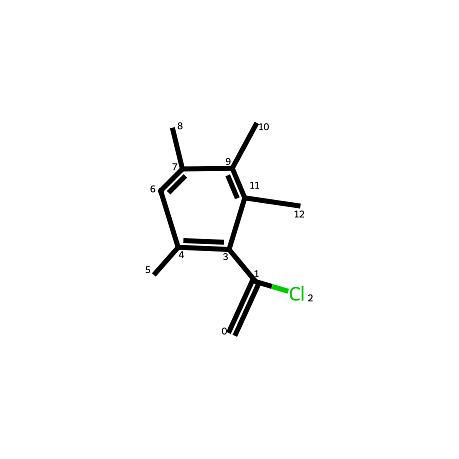 C=C(Cl)c1c(C)cc(C)c(C)c1C